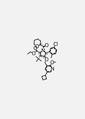 CCOC(=O)[C@@H]1[C@@H](C(C)(C)C)[C@H](OCc2cc(C3CCC3)cnc2OC)[C@H](c2cc(Cl)ccc2C)N1C(=O)[C@@H]1CCCCO1